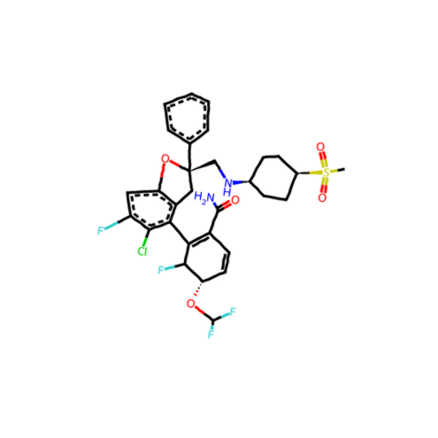 CS(=O)(=O)[C@H]1CC[C@@H](NC[C@@]2(c3ccccc3)Cc3c(cc(F)c(Cl)c3C3=C(C(N)=O)C=C[C@H](OC(F)F)C3F)O2)CC1